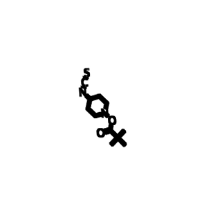 CC(C)(C)C(=O)ON1CCC(N=C=S)CC1